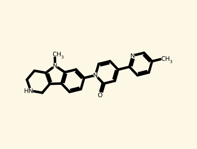 Cc1ccc(-c2ccn(-c3ccc4c5c(n(C)c4c3)CCNC5)c(=O)c2)nc1